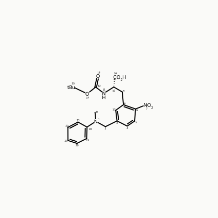 CN(Cc1ccc([N+](=O)[O-])c(C[C@H](NC(=O)OC(C)(C)C)C(=O)O)c1)c1ccccc1